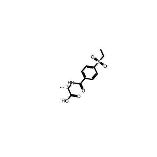 CCS(=O)(=O)c1ccc(C(=O)N[C@@H](C)C(=O)O)cc1